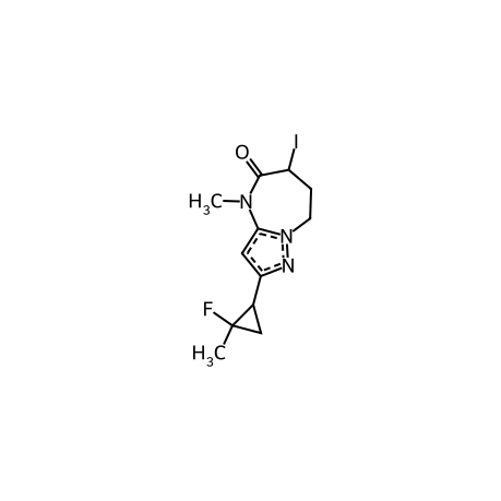 CN1C(=O)C(I)CCn2nc(C3CC3(C)F)cc21